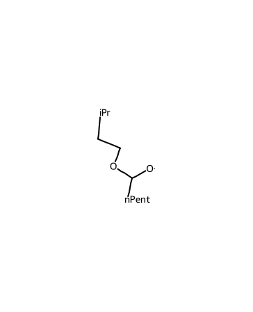 CCCCCC([O])OCCC(C)C